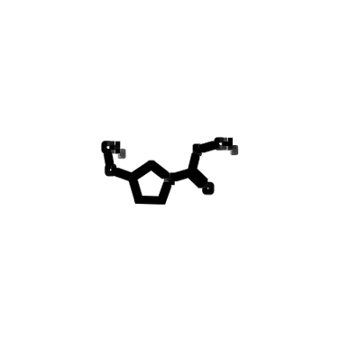 COC1CCN(C(=O)SC)C1